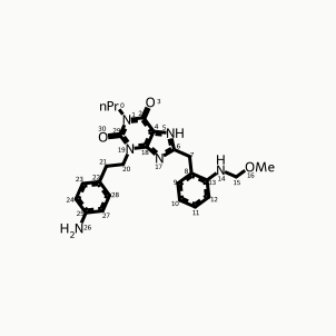 CCCn1c(=O)c2[nH]c(Cc3ccccc3NCOC)nc2n(CCc2ccc(N)cc2)c1=O